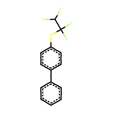 FC(F)C(F)(F)Sc1ccc(-c2ccccc2)cc1